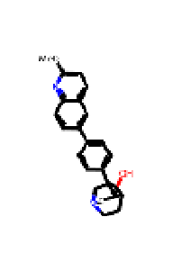 COc1ccc2cc(-c3ccc(C4(O)CN5CCC4CC5)cc3)ccc2n1